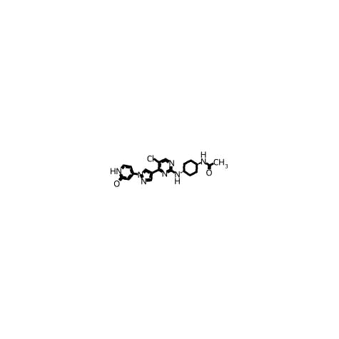 CC(=O)N[C@H]1CC[C@H](Nc2ncc(Cl)c(-c3cnn(-c4cc[nH]c(=O)c4)c3)n2)CC1